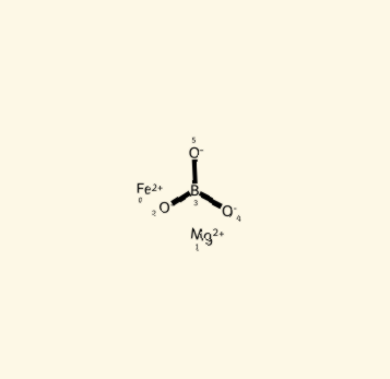 [Fe+2].[Mg+2].[O-]B([O-])[O-]